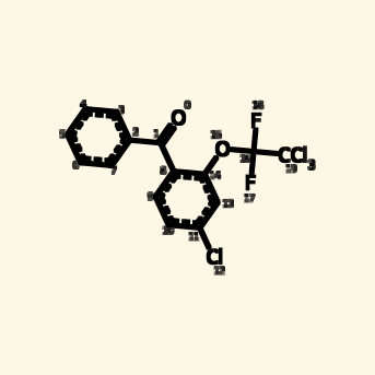 O=C(c1ccccc1)c1ccc(Cl)cc1OC(F)(F)C(Cl)(Cl)Cl